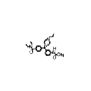 CCCN1CCN([C@H](c2ccc(C(=O)N(CC)CC)cc2)c2cccc(NC(=O)O)c2)CC1